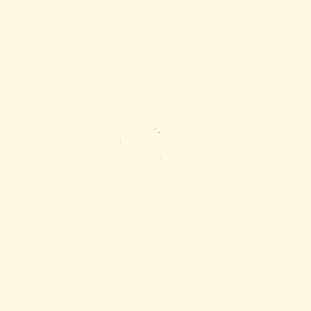 CCCC(=O)O.CCN(CC)CC.Cl